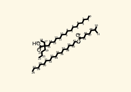 CCCCCCCCCCCCCCCCC(CC)(CCCC)C(=O)O.CCCCCCCCCCCCCCCCOC(=O)CCCCC(C)C